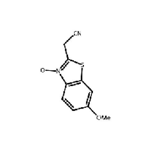 COc1ccc2c(c1)sc(CC#N)[n+]2[O-]